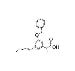 CCCC=Cc1cc(OCc2ccccc2)cc(C(C)C(=O)O)c1